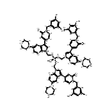 O=c1cc(-c2cn(COP(=O)(OCn3cc(-c4ccn(Cc5cc(F)cc(I)c5)c(=O)c4)c4cc(N5CCOCC5)cnc43)OCn3cc(-c4ccn(Cc5cc(F)cc(I)c5)c(=O)c4)c4cc(N5CCOCC5)cnc43)c3ncc(N4CCOCC4)cc23)ccn1Cc1cc(F)cc(I)c1